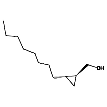 CCCCCCCC[C@H]1C[C@@H]1CO